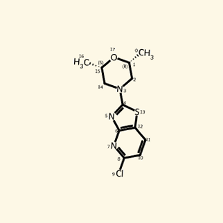 C[C@@H]1CN(c2nc3nc(Cl)ccc3s2)C[C@H](C)O1